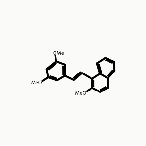 COc1cc(/C=C/c2c(OC)ccc3ccccc23)cc(OC)c1